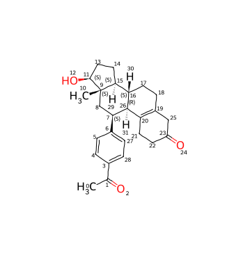 CC(=O)c1ccc([C@H]2C[C@]3(C)[C@@H](O)CC[C@H]3[C@@H]3CCC4=C(CCC(=O)C4)[C@H]32)cc1